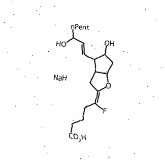 CCCCCC(O)C=CC1C(O)CC2OC(=C(F)CCCC(=O)O)CC21.[NaH]